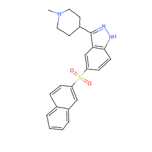 CN1CCC(c2n[nH]c3ccc(S(=O)(=O)c4ccc5ccccc5c4)cc23)CC1